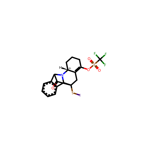 O=C1C2c3ccccc3C3N2[C@@H]2CCCC(OS(=O)(=O)C(F)(F)F)=C2CC13SI